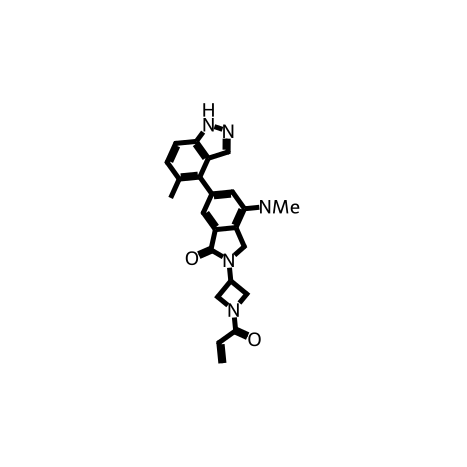 C=CC(=O)N1CC(N2Cc3c(NC)cc(-c4c(C)ccc5[nH]ncc45)cc3C2=O)C1